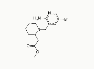 COC(=O)CC1CCCCN1Cc1cc(Br)cnc1N